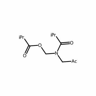 CC(=O)CN(COC(=O)C(C)C)C(=O)C(C)C